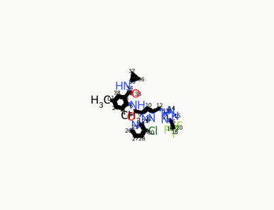 Cc1cc(C)c(NC(=O)c2cc(Cn3nnc(C(F)(F)F)n3)nn2-c2ncccc2Cl)c(C(=O)NC2CC2)c1